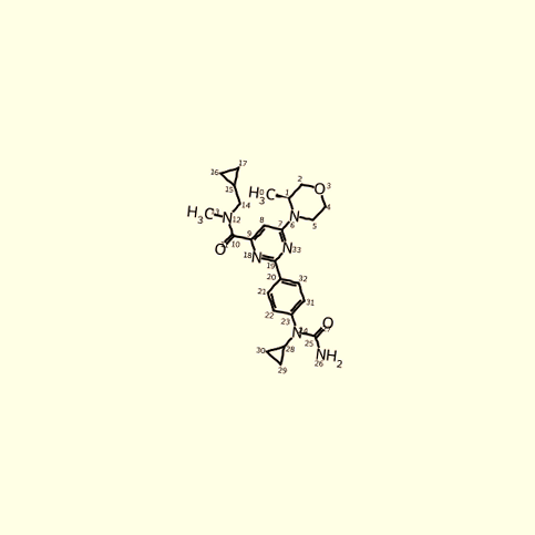 C[C@H]1COCCN1c1cc(C(=O)N(C)CC2CC2)nc(-c2ccc(N(C(N)=O)C3CC3)cc2)n1